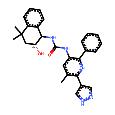 Cc1cc(NC(=O)NC2c3ccccc3C(C)(C)C[C@H]2O)c(-c2ccccc2)nc1-c1cn[nH]c1